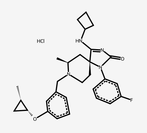 C[C@H]1C[C@H]1Oc1cccc(CN2CC[C@@]3(C[C@@H]2C)C(NC2CCC2)=NC(=O)N3c2cccc(F)c2)c1.Cl